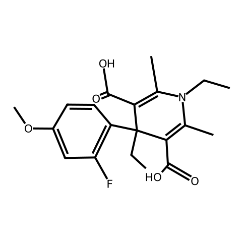 CCN1C(C)=C(C(=O)O)C(CC)(c2ccc(OC)cc2F)C(C(=O)O)=C1C